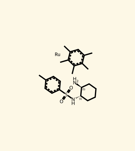 Cc1cc(C)c(C)c(C)c1C.Cc1ccc(S(=O)(=O)N[C@H]2CCCC[C@@H]2N)cc1.[Ru]